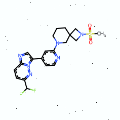 CS(=O)(=O)N1CC2(CCCN(c3cc(-c4cnc5ccc(C(F)F)nn45)ccn3)C2)C1